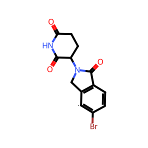 O=C1CCC(N2Cc3[c]c(Br)ccc3C2=O)C(=O)N1